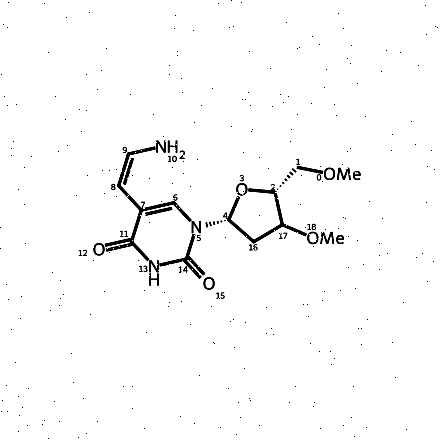 COC[C@H]1O[C@@H](n2cc(/C=C\N)c(=O)[nH]c2=O)CC1OC